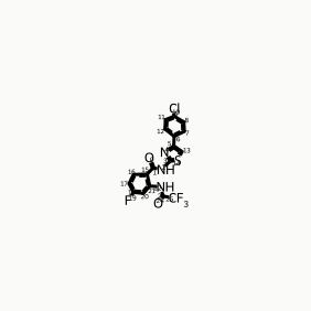 O=C(Nc1nc(-c2ccc(Cl)cc2)cs1)c1ccc(F)cc1NC(=O)C(F)(F)F